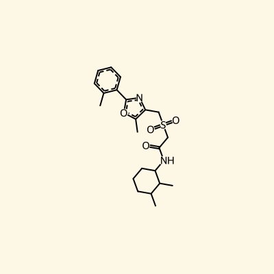 Cc1ccccc1-c1nc(CS(=O)(=O)CC(=O)NC2CCCC(C)C2C)c(C)o1